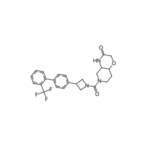 O=C1COC2CCN(C(=O)N3CC(c4ccc(-c5ccccc5C(F)(F)F)cc4)C3)CC2N1